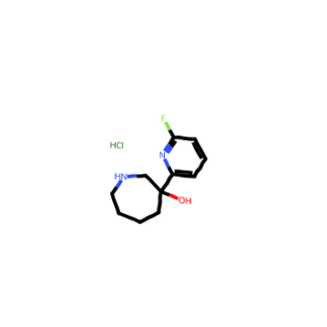 Cl.OC1(c2cccc(F)n2)CCCCNC1